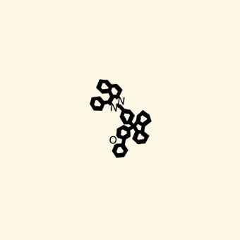 c1ccc(-c2nc(-c3ccc(C4(c5ccc6oc7ccccc7c6c5)c5ccccc5-c5ccccc54)cc3)nc3ccc4ccccc4c23)cc1